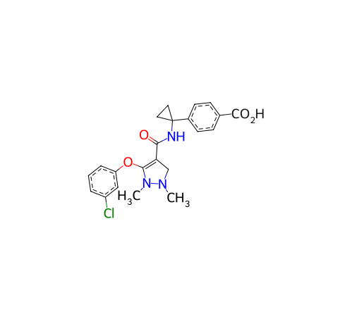 CN1CC(C(=O)NC2(c3ccc(C(=O)O)cc3)CC2)=C(Oc2cccc(Cl)c2)N1C